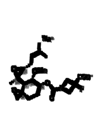 CO[C@@H]1[C@H](OC(=O)N2CC(F)(C(=O)[O-])C2)CC[C@]2(CO2)[C@H]1[C@@]1(C)O[C@@H]1CC=C(C)C.[Na+]